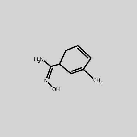 CC1=CC(/C(N)=N\O)CC=C1